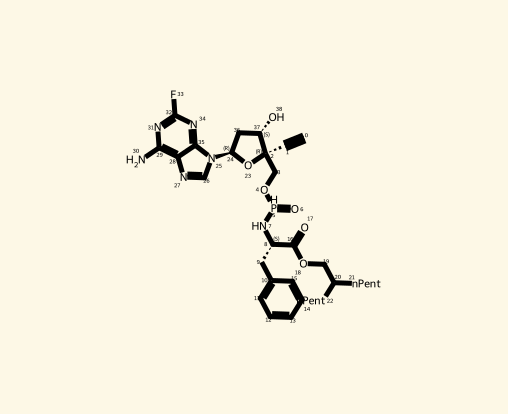 C#C[C@]1(CO[PH](=O)N[C@@H](Cc2ccccc2)C(=O)OCC(CCCCC)CCCCC)O[C@@H](n2cnc3c(N)nc(F)nc32)C[C@@H]1O